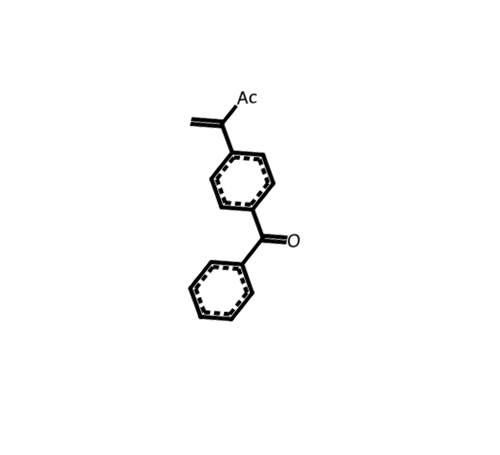 C=C(C(C)=O)c1ccc(C(=O)c2ccccc2)cc1